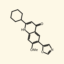 COc1cc2[nH]c(C3CCCCC3)cc(=O)c2cc1-c1cnco1